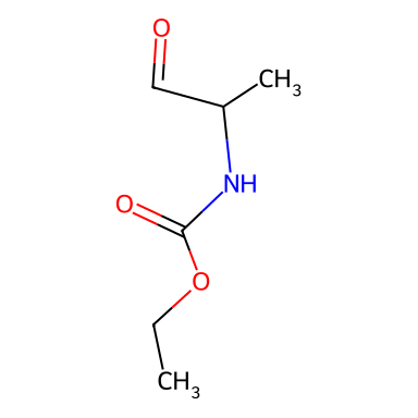 CCOC(=O)NC(C)C=O